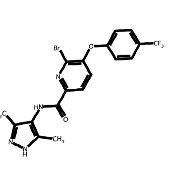 Cc1n[nH]c(C)c1NC(=O)c1ccc(Oc2ccc(C(F)(F)F)cc2)c(Br)n1